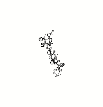 CCOC(=O)C(C(C)=O)C(=S)NCCOc1ccc(/C=C/C(=O)N2CCCCC2)c(O)c1